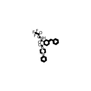 O=C(NOC(=O)C(F)(F)F)[C@H]1CC(=Cc2ccccc2)CC[C@@H]1C(=O)N1CCN(c2ccccc2)CC1